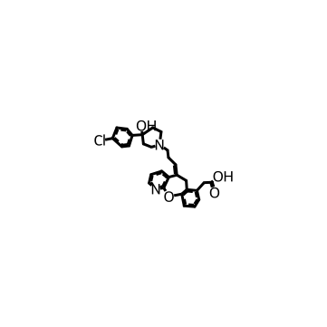 O=C(O)Cc1cccc2c1C/C(=C/CCN1CCC(O)(c3ccc(Cl)cc3)CC1)c1cccnc1O2